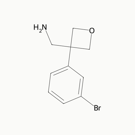 NCC1(c2cccc(Br)c2)COC1